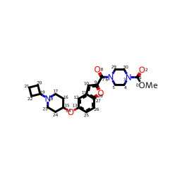 COC(=O)N1CCN(C(=O)c2cc3cc(OC4CCN(C5CCC5)CC4)ccc3o2)CC1